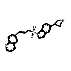 O=S(=O)(CC=Cc1ccc2ncccc2c1)n1ccc2cc(C3CNC3)ccc21